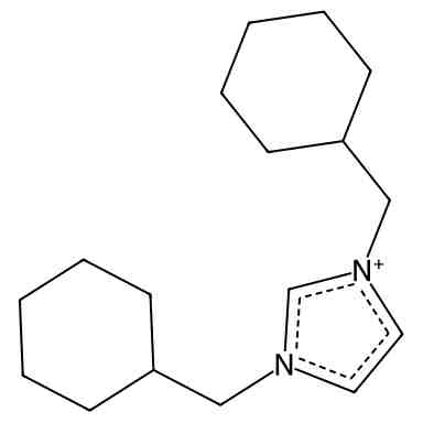 c1c[n+](CC2CCCCC2)cn1CC1CCCCC1